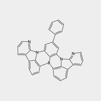 c1ccc(-c2cc3c4c(c2)-n2c5ncccc5c5cccc(c52)B4c2cccc4c5cccnc5n-3c24)cc1